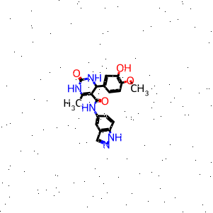 COc1ccc(C2NC(=O)NC(C)=C2C(=O)Nc2ccc3[nH]ncc3c2)cc1O